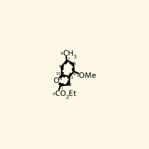 CCOC(=O)c1cc2c(OC)cc(C)cc2o1